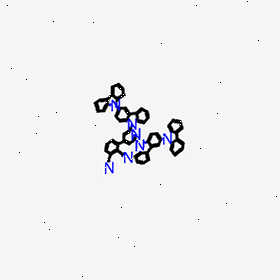 N#Cc1cccc(-c2cc(-n3c4ccccc4c4cc(-n5c6ccccc6c6ccccc65)ccc43)nc(-n3c4ccccc4c4cc(-n5c6ccccc6c6ccccc65)ccc43)c2)c1C#N